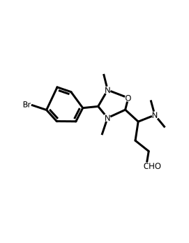 CN(C)C(CCC=O)C1ON(C)C(c2ccc(Br)cc2)N1C